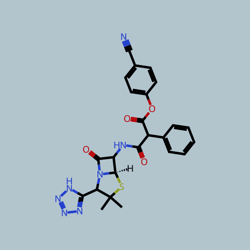 CC1(C)S[C@@H]2C(NC(=O)C(C(=O)Oc3ccc(C#N)cc3)c3ccccc3)C(=O)N2C1c1nnn[nH]1